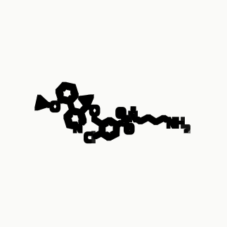 CN(CCCCN)S(=O)(=O)c1ccc(Cl)c(COC2(c3cnccc3-c3ccccc3OC3CC3)CC2)c1